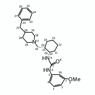 COc1cccc(NC(=O)N[C@H]2CCCC[C@H]2CN2CCC(Cc3ccccc3)CC2)c1